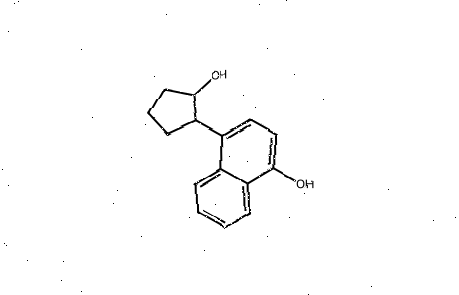 Oc1ccc(C2CCCC2O)c2ccccc12